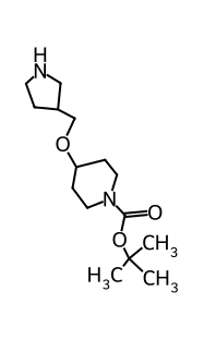 CC(C)(C)OC(=O)N1CCC(OCC2CCNC2)CC1